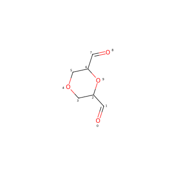 O=CC1COCC(C=O)O1